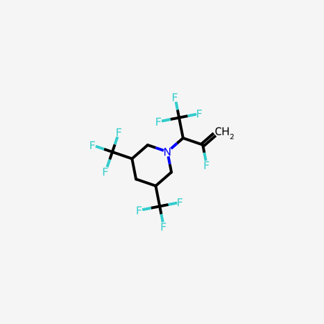 C=C(F)C(N1CC(C(F)(F)F)CC(C(F)(F)F)C1)C(F)(F)F